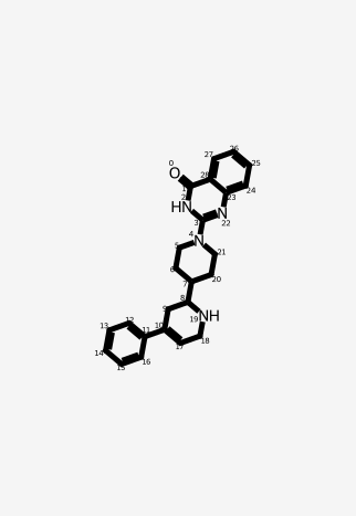 O=c1[nH]c(N2CCC(C3CC(c4ccccc4)=CCN3)CC2)nc2ccccc12